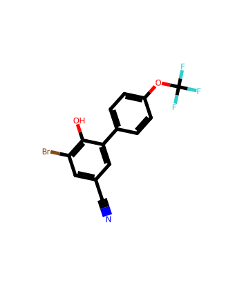 N#Cc1cc(Br)c(O)c(-c2ccc(OC(F)(F)F)cc2)c1